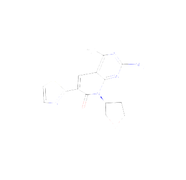 Cc1nc(N)nc2c1cc(-c1nccs1)c(=O)n2[C@H]1CCOC1